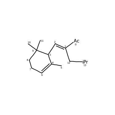 CC(=O)C(=CC1C(C)=CCCC1(C)C)CC(C)C